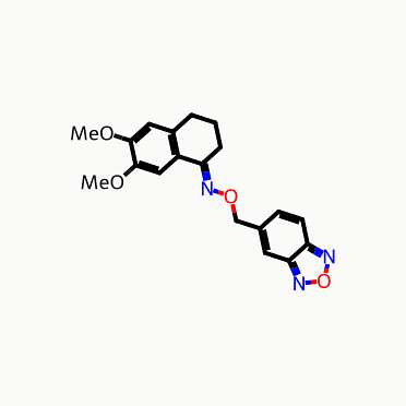 COc1cc2c(cc1OC)C(=NOCc1ccc3nonc3c1)CCC2